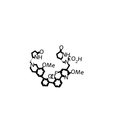 COc1cc(-c2cccc(-c3cccc(-c4nc(OC)c(CN(C[C@@H]5CCC(=O)N5)C(=O)O)cc4F)c3Cl)c2Cl)cc2c1CN(C[C@@H]1CCC(=O)N1)CC2